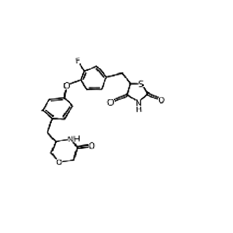 O=C1COCC(Cc2ccc(Oc3ccc(CC4SC(=O)NC4=O)cc3F)cc2)N1